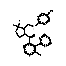 O=C(c1cccc(F)c1-c1ncccn1)N1CCC(F)(F)C1CNc1ncc(Cl)cn1